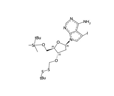 CC(C)(C)SSCO[C@H]1C[C@H](n2cc(I)c3c(N)ncnc32)O[C@@H]1CO[Si](C)(C)C(C)(C)C